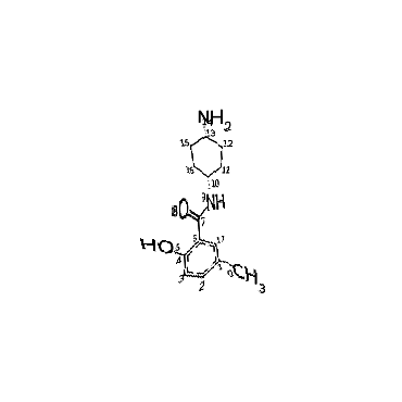 Cc1ccc(O)c(C(=O)N[C@H]2CC[C@@H](N)CC2)c1